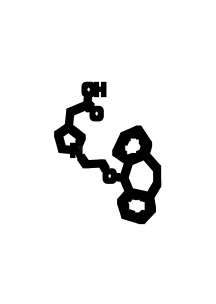 O=C(O)CC1CCN(CCOC2c3ccccc3CCc3ccccc32)C1